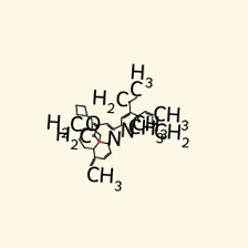 C=C/C(C)=C\C(C)/C(=C\C(=N/C)C1=CC(=O)C(=C)CC(/C=C\C(=C/C)C2CCC(=C)C(CC3CCC3)CC2)=N1)C(=C)CC